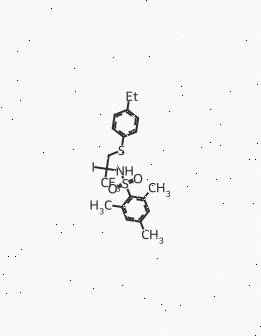 CCc1ccc(SCC(I)(NS(=O)(=O)c2c(C)cc(C)cc2C)C(F)(F)F)cc1